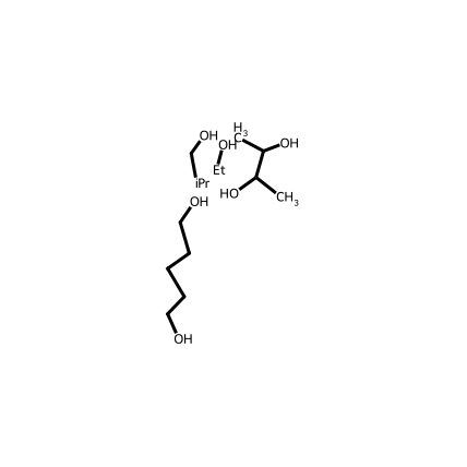 CC(C)CO.CC(O)C(C)O.CCO.OCCCCCO